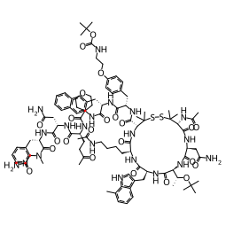 CC(=O)CC[C@H](NC(=O)C1(NC(=O)[C@H](Cc2ccc3ccccc3c2)NC(=O)[C@H](Cc2ccc(OCCNC(=O)OC(C)(C)C)cc2)NC(=O)[C@H]2NC(=O)[C@H](CCCCNC(C)=O)NC(=O)[C@H](Cc3c[nH]c4c(C)cccc34)NC(=O)[C@H]([C@@H](C)OC(C)(C)C)NC(=O)[C@H](CC(N)=O)NC(=O)[C@@H](NC(C)=O)C(C)(C)SSC2(C)C)CCOCC1)C(=O)N[C@@H](CC(N)=O)C(=O)N[C@@H](Cc1cccnc1)C(=O)N(C)CC(N)=O